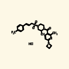 Cc1nc(N2CCC2)ccc1C(=O)N1CCN(S(=O)(=O)CC=Cc2ccc(C(F)(F)F)cc2)CC1C.Cl